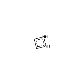 c1c[nH][nH]1